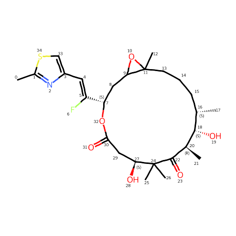 Cc1nc(C=C(F)[C@@H]2CC3OC3(C)CCC[C@H](C)[C@H](O)[C@@H](C)C(=O)C(C)(C)[C@@H](O)CC(=O)O2)cs1